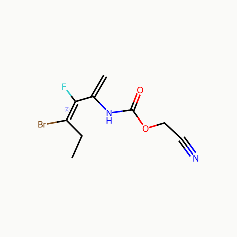 C=C(NC(=O)OCC#N)/C(F)=C(/Br)CC